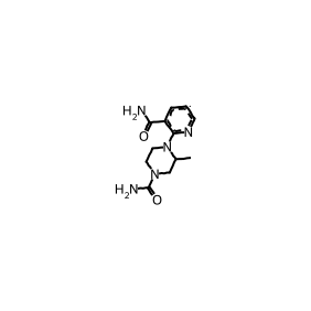 CC1CN(C(N)=O)CCN1c1nc[c]cc1C(N)=O